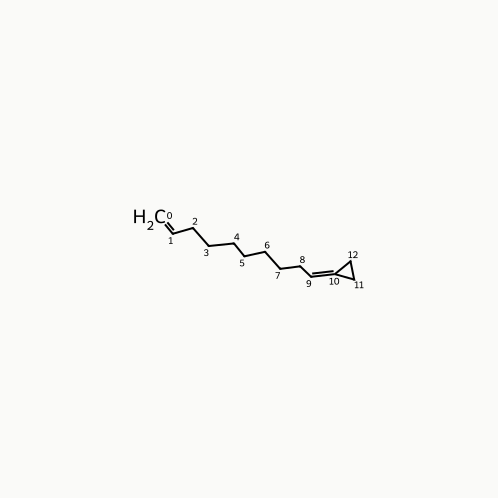 C=CCCCCCCCC=C1CC1